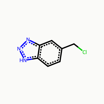 ClCc1ccc2[nH]nnc2c1